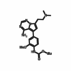 COc1cc(-c2cc(CCN(C)C)n3ncnc(N)c23)ccc1NC(=O)OC(C)(C)C